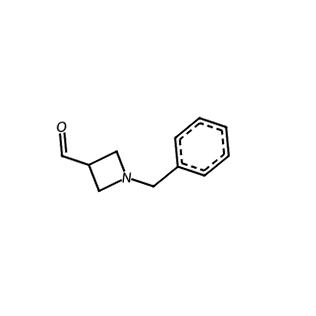 O=CC1CN(Cc2ccccc2)C1